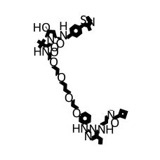 C=Cc1cnc(Nc2cccc(OCCCOCCCCOCCCOCC(=O)NC(C(=O)N3C[C@H](O)C[C@H]3C(=O)NCc3ccc(-c4scnc4C)cc3)C(C)(C)C)c2)nc1NCCCN(C)C(=O)C1CCC1